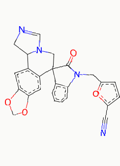 N#Cc1ccc(CN2C(=O)C3(CN4C=NCC4c4cc5c(cc43)OCO5)c3ccccc32)o1